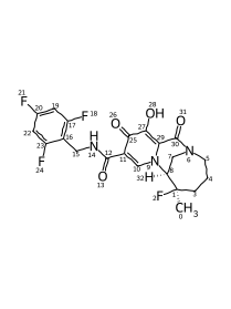 C[C@@]1(F)CCCN2C[C@@H]1n1cc(C(=O)NCc3c(F)cc(F)cc3F)c(=O)c(O)c1C2=O